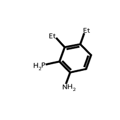 CCc1ccc(N)c(P)c1CC